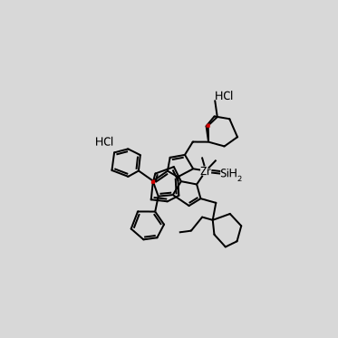 CCCC1(CC2=Cc3c(-c4ccccc4)cccc3[CH]2[Zr]([CH3])([CH3])(=[SiH2])[CH]2C(CC3(CCC)CCCCC3)=Cc3c(-c4ccccc4)cccc32)CCCCC1.Cl.Cl